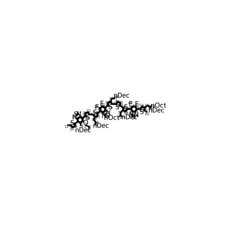 CCCCCCCCCCCCOc1c(C)c(-c2ccc(C)s2)c2nsnc2c1-c1ccc(-c2sc(-c3c(F)c(F)c(-c4cc(CCCCCCCCCCCC)c(-c5ccc(-c6sc(-c7c(F)c(F)c(-c8cc(CC(CCCCCCCC)CCCCCCCCCC)c(C)s8)c8nsnc78)cc6CC(CCCCCCCC)CCCCCCCCCC)s5)s4)c4nsnc34)cc2CCCCCCCCCCCC)s1